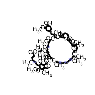 CO[C@H]1C[C@@H]2CC[C@@H](C)[C@@](O)(O2)C(=O)C(=O)N2CCCC[C@H]2C(=O)O[C@H]([C@H](C)C[C@@H]2CC[C@@H](O)[C@H](OC)C2)CC(=O)[C@H](C)/C=C(\C)[C@@H](O)[C@@H](OC)C(=O)[C@H](C)C[C@H](C)/C=C/C=C/C=C/1C.COc1c(C)c2c(c(O)c1C/C=C(\C)CCC(=O)O)C(=O)OC2